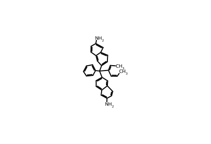 C/C=C\C(=C/C)C(c1ccccc1)(c1ccc2cc(N)ccc2c1)c1ccc2cc(N)ccc2c1